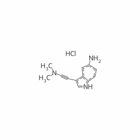 CN(C)C#Cc1c[nH]c2ccc(N)cc12.Cl